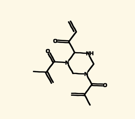 C=CC(=O)C1NCN(C(=O)C(=C)C)CN1C(=O)C(=C)C